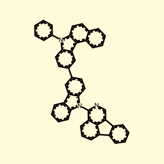 c1ccc(-n2c3ccc(-c4ccc5c(c4)c4ccccc4n5-c4ncc5c6c(cccc46)-c4ccccc4-5)cc3c3c4ccccc4ccc32)cc1